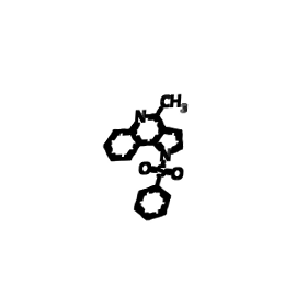 Cc1nc2ccccc2c2c1ccn2S(=O)(=O)c1ccccc1